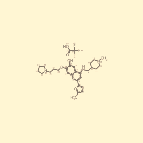 Cc1ccc(-c2cc(NCC3CCN(C)CC3)c3cc(O)c(OCCCN4CCCC4)cc3n2)o1.O=C(O)C(F)(F)F